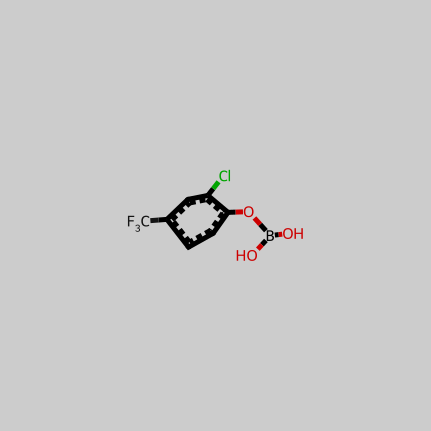 OB(O)Oc1ccc(C(F)(F)F)cc1Cl